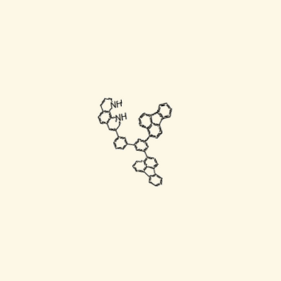 C1=Cc2ccc3c(c2NC1)NCC(c1cccc(-c2cc(-c4ccc5c6c(cccc46)-c4ccccc4-5)cc(-c4ccc5c6c(cccc46)-c4ccccc4-5)c2)c1)=C3